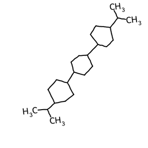 CC(C)C1CCC(C2CCC(C3CCC(C(C)C)CC3)CC2)CC1